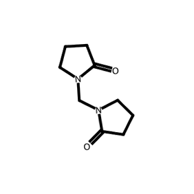 O=C1CCCN1CN1CCCC1=O